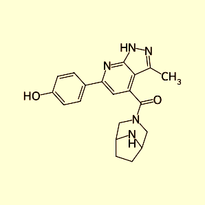 Cc1n[nH]c2nc(-c3ccc(O)cc3)cc(C(=O)N3CC4CCC(C3)N4)c12